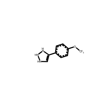 FC(F)(F)Oc1ccc(C2=CNNN2)cc1